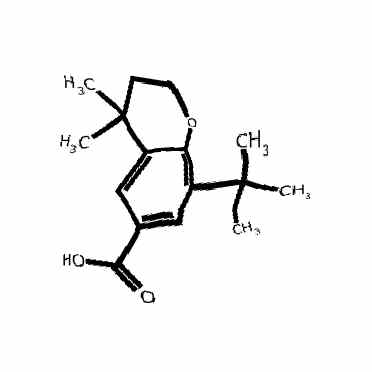 CC(C)(C)c1cc(C(=O)O)cc2c1OCCC2(C)C